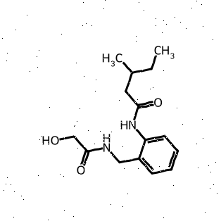 CCC(C)CC(=O)Nc1ccccc1CNC(=O)CO